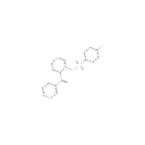 Cc1ccc(S(=O)(=O)Nc2ccccc2C(=O)c2ccccc2)cc1